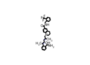 C/C(=C\C=C(/C)c1ccccc1C(N)O)CN1CCCc2cc(C(=O)NCc3ccccc3C(F)(F)F)ccc21